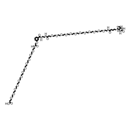 O=C(O)CCOCCOCCOCCOCCOCCOCCOCCOCCOCCOCCOCCOCCNC(=O)COc1cccc(C(=O)NCCNC(=O)CCOCCOCCOCCOCCOCCOCCOCCOCCOCCOCCOCCOCCNC(=O)CCCC[C@@H]2SC[C@@H]3NC(=O)N[C@@H]32)c1